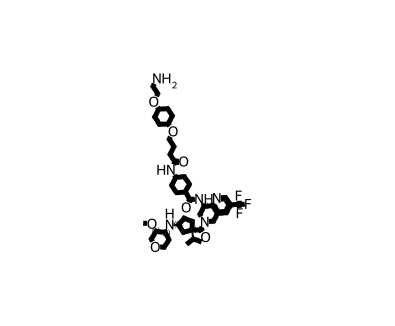 CO[C@@H]1COCC[C@@H]1N[C@H]1CC[C@@](C(=O)N2Cc3cc(C(F)(F)F)cnc3[C@H](NC(=O)C3CCC(NC(=O)CCCOC4CCC(OCCN)CC4)CC3)C2)(C(C)C)C1